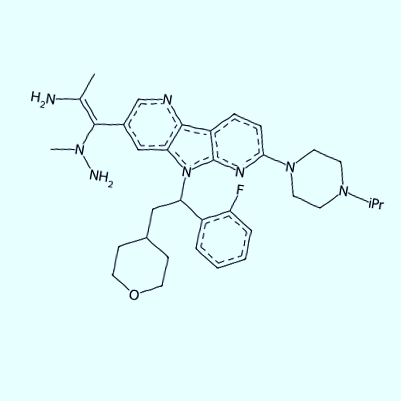 C/C(N)=C(\c1cnc2c3ccc(N4CCN(C(C)C)CC4)nc3n(C(CC3CCOCC3)c3ccccc3F)c2c1)N(C)N